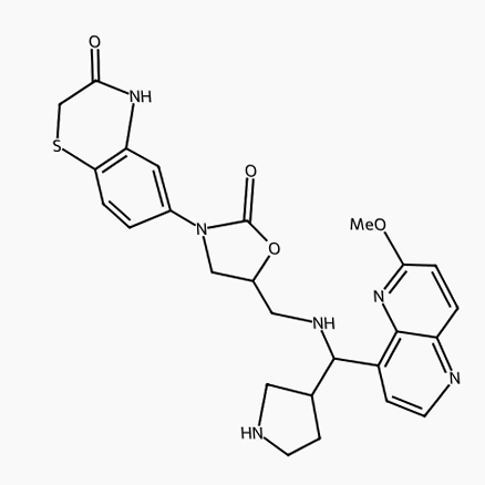 COc1ccc2nccc(C(NCC3CN(c4ccc5c(c4)NC(=O)CS5)C(=O)O3)C3CCNC3)c2n1